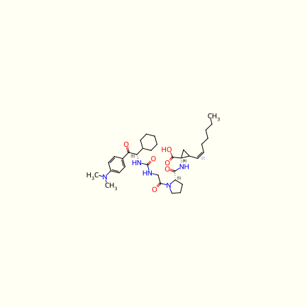 CCCCC/C=C\C1C[C@]1(NC(=O)[C@@H]1CCCN1C(=O)CNC(=O)N[C@H](C(=O)c1ccc(N(C)C)cc1)C1CCCCC1)C(=O)O